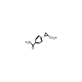 NC(=O)c1ccc([C@@H]2C[C@H]2C(=O)O)cc1